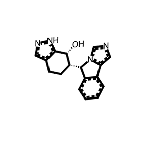 O[C@H]1c2[nH]ncc2CC[C@H]1C1c2ccccc2-c2cncn21